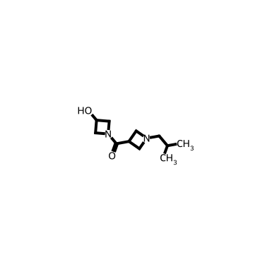 CC(C)CN1CC(C(=O)N2CC(O)C2)C1